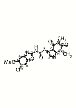 COc1cc2nc(NC(=O)Cn3cnc4c3c(=O)n(C)c(=O)n4C)oc2cc1Cl